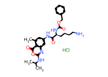 Cc1cc(NC(=O)[C@H](CCCCN)NC(=O)OCc2ccccc2)cc2nc(NC(C)C)oc(=O)c12.Cl